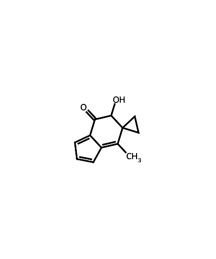 CC1=C2C=CC=C2C(=O)C(O)C12CC2